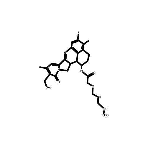 CC(=O)OCc1c(C)cc2n(c1=O)CC1C2=Nc2cc(F)c(C)c3c2C1[C@@H](NC(=O)COCNCNC=O)CC3